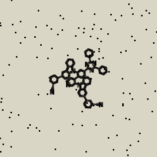 N#Cc1cccc(-c2ccc3c(c2)c2ccccc2n3-c2cnccc2-c2ccc(-c3nc(-c4ccccc4)nc(-c4ccccc4)n3)cc2-n2c3ccccc3c3cc(-c4cccc(C#N)c4)ccc32)c1